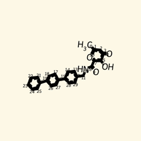 Cc1cc(=O)c(O)c(C(=O)NCc2ccc(-c3ccc(-c4ccccc4)cc3)cc2)o1